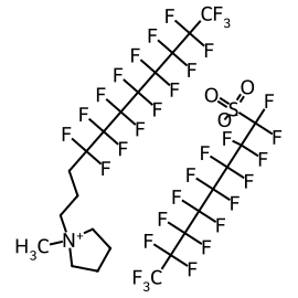 C[N+]1(CCCC(F)(F)C(F)(F)C(F)(F)C(F)(F)C(F)(F)C(F)(F)C(F)(F)C(F)(F)F)CCCC1.O=S(=O)([O-])C(F)(F)C(F)(F)C(F)(F)C(F)(F)C(F)(F)C(F)(F)C(F)(F)C(F)(F)F